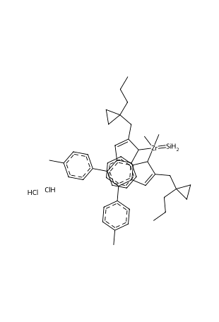 CCCC1(CC2=Cc3c(-c4ccc(C)cc4)cccc3[CH]2[Zr]([CH3])([CH3])(=[SiH2])[CH]2C(CC3(CCC)CC3)=Cc3c(-c4ccc(C)cc4)cccc32)CC1.Cl.Cl